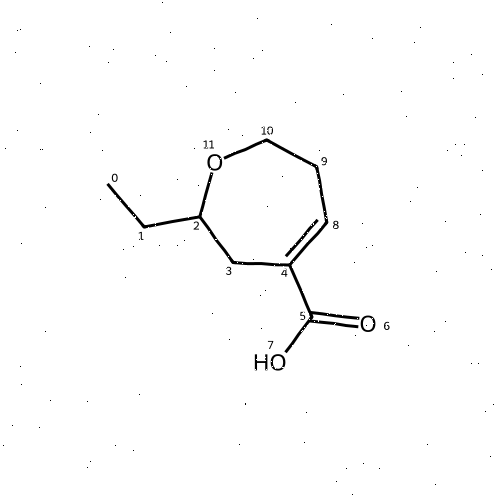 CCC1CC(C(=O)O)=CCCO1